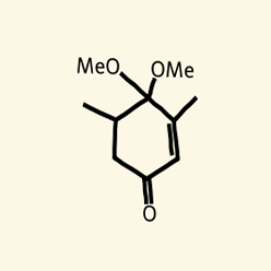 COC1(OC)C(C)=CC(=O)CC1C